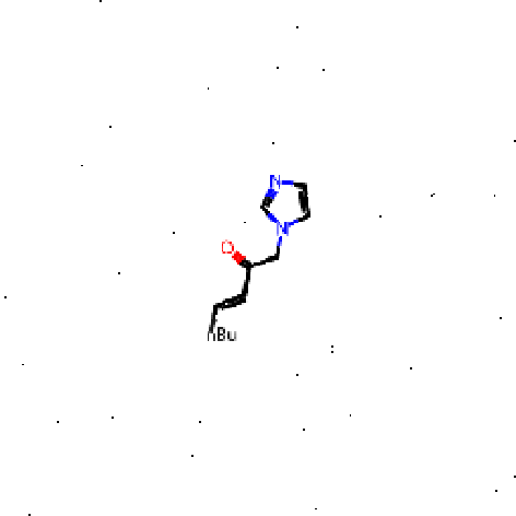 CCCCC=CC(=O)Cn1ccnc1